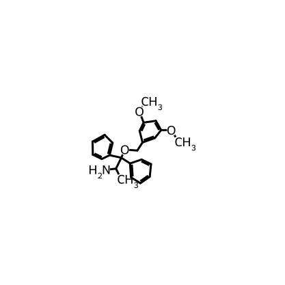 COc1cc(COC(c2ccccc2)(c2ccccc2)C(C)N)cc(OC)c1